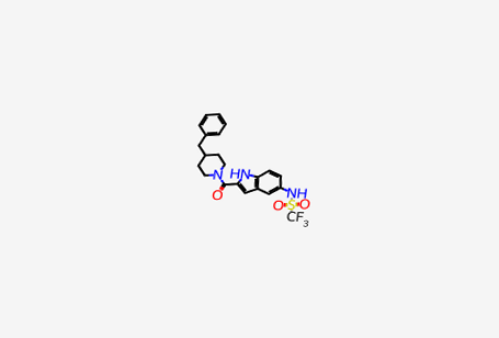 O=C(c1cc2cc(NS(=O)(=O)C(F)(F)F)ccc2[nH]1)N1CCC(Cc2ccccc2)CC1